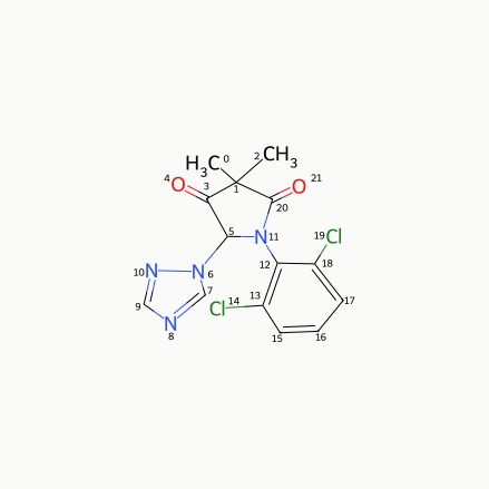 CC1(C)C(=O)C(n2cncn2)N(c2c(Cl)cccc2Cl)C1=O